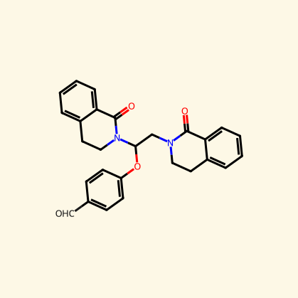 O=Cc1ccc(OC(CN2CCc3ccccc3C2=O)N2CCc3ccccc3C2=O)cc1